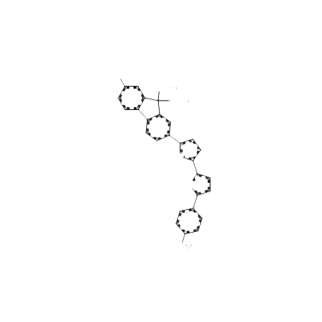 CCCCCCC1(CCCCCC)c2cc(Br)ccc2-c2ccc(-c3ccc(-c4ccc(-c5ccc(OC)cc5)s4)s3)cc21